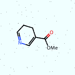 COC(=O)C1=CN=CCC1